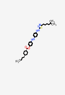 CCCC[C@H]1CC[C@H](C(=O)Oc2ccc(/N=N/c3ccc(/N=N/c4nnc(CCCCC(C)C)s4)cc3)cc2)CC1